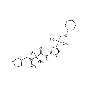 CN(CC1CCOC1)C(C)(C)C(=O)Nc1cc(C(C)(C)COC2CCCCO2)no1